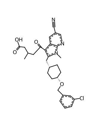 CC(CC(=O)O)CC(=O)c1c(C[C@H]2CC[C@@H](OCc3cccc(Cl)c3)CC2)n(C)c2ncc(C#N)cc12